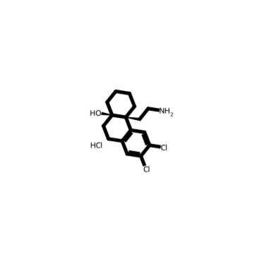 Cl.NCC[C@]12CCCC[C@@]1(O)CCc1cc(Cl)c(Cl)cc12